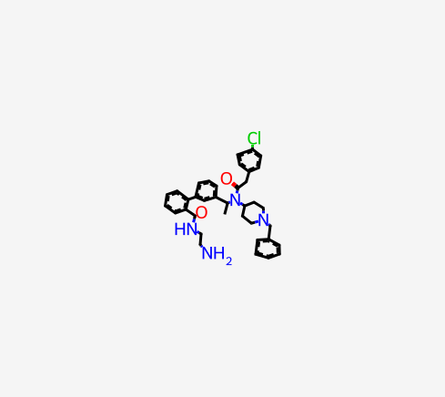 CC(c1cccc(-c2ccccc2C(=O)NCCN)c1)N(C(=O)Cc1ccc(Cl)cc1)C1CCN(Cc2ccccc2)CC1